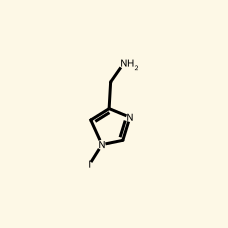 NCc1cn(I)cn1